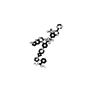 C=C(C)c1ccccc1[C@@H]1CCCN1C1CC2(CCN(c3ccc(C(=O)NS(=O)(=O)c4cc5c(c([N+](=O)[O-])c4)N[C@@H]([C@H]4COCCO4)CO5)c(N4c5cc6cc[nH]c6nc5OC[C@H]4C)c3)CC2)C1